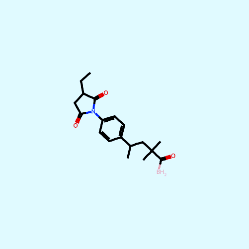 BC(=O)C(C)(C)CC(C)c1ccc(N2C(=O)CC(CC)C2=O)cc1